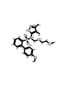 COCCOCN(c1onc(C)c1C)S(=O)(=O)c1ccccc1-c1ccc(OC)cc1